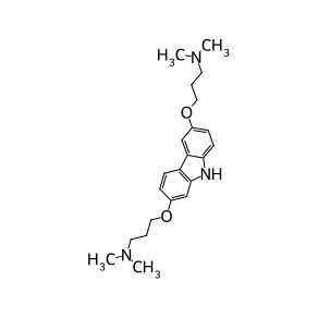 CN(C)CCCOc1ccc2c(c1)[nH]c1ccc(OCCCN(C)C)cc12